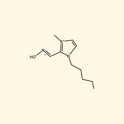 CCCCCn1cc[n+](C)c1/C=N/O